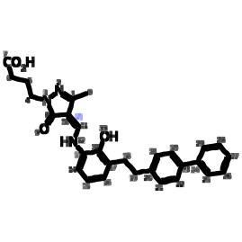 CC1=NN(CCCC(=O)O)C(=O)/C1=C\Nc1cccc(CCc2ccc(-c3ccccc3)cc2)c1O